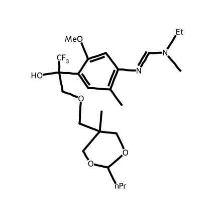 CCCC1OCC(C)(COCC(O)(c2cc(C)c(N=CN(C)CC)cc2OC)C(F)(F)F)CO1